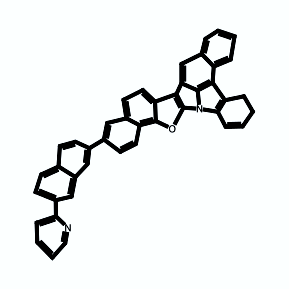 C1=Cc2c(c3c4ccccc4cc4c5c6ccc7cc(-c8ccc9ccc(-c%10ccccn%10)cc9c8)ccc7c6oc5n2c43)CC1